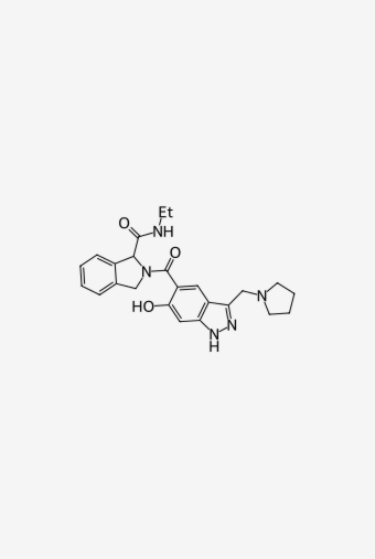 CCNC(=O)C1c2ccccc2CN1C(=O)c1cc2c(CN3CCCC3)n[nH]c2cc1O